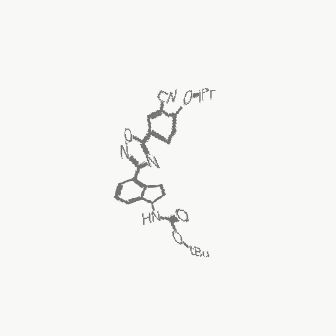 CC(C)OC1CC=C(c2nc(-c3cccc4c3CC[C@H]4NC(=O)OC(C)(C)C)no2)C=C1C#N